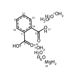 O.O.O.O.O.O.O=C(O)c1ccccc1C(=O)O.[MgH2]